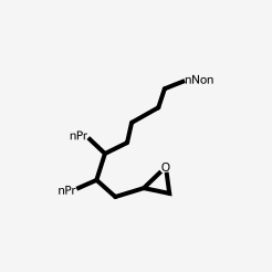 CCCCCCCCCCCCCC(CCC)C(CCC)CC1CO1